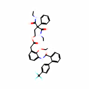 CCNC(=O)C(CCOC(=O)Cc1cccc(NC(=O)c2ccccc2-c2ccc(C(F)(F)F)cc2)c1OCC)(C(=O)NCC)c1ccccc1